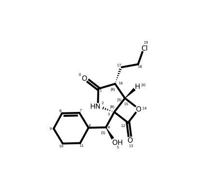 O=C1N[C@@]2([C@@H](O)C3C=CCCC3)C(=O)O[C@H]2[C@H]1CCCl